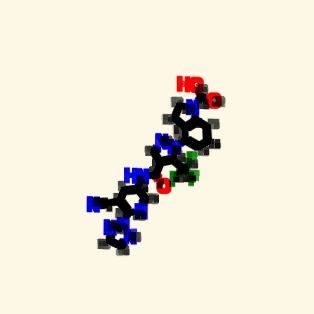 N#Cc1cc(NC(=O)c2cnn(-c3cccc4c3CCN4C(=O)O)c2C(F)(F)F)cnc1-n1nccn1